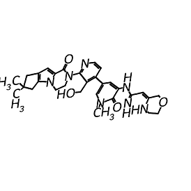 Cn1cc(-c2ccnc(N3CCn4c(cc5c4CC(C)(C)C5)C3=O)c2CO)cc(NC(=N)/C=C2/COCCN2)c1=O